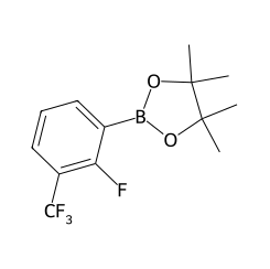 CC1(C)OB(c2cccc(C(F)(F)F)c2F)OC1(C)C